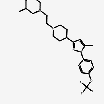 Cc1cc(C2CCN(CCN3CCCC(C)C3)CC2)nn1-c1ccc(OC(F)(F)F)cc1